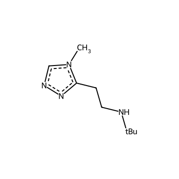 Cn1cnnc1CCNC(C)(C)C